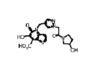 O=C(O)c1c(O)c(=O)n(Cc2cnn(CC(=O)N3CCC(O)C3)c2)c2ccsc12